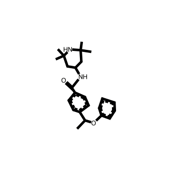 CC(Oc1ccccc1)c1ccc(C(=O)NC2CC(C)(C)NC(C)(C)C2)cc1